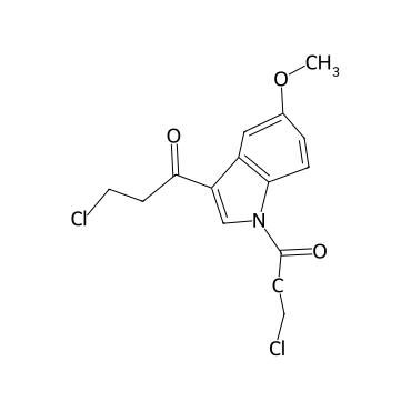 COc1ccc2c(c1)c(C(=O)CCCl)cn2C(=O)CCCl